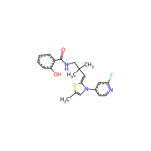 CC1=CN(c2ccnc(F)c2)C(=CC(C)(C)CNC(=O)c2ccccc2O)S1